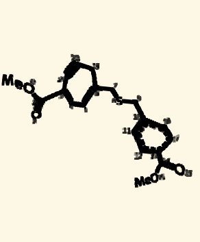 COC(=O)C1=CC=C(CSCc2ccc(C(=O)OC)cc2)CC#C1